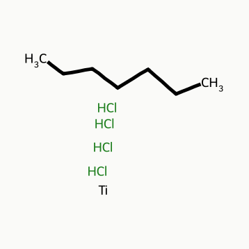 CCCCCCC.Cl.Cl.Cl.Cl.[Ti]